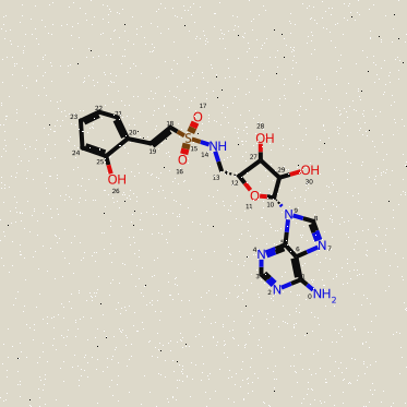 Nc1ncnc2c1ncn2[C@@H]1O[C@H](CNS(=O)(=O)/C=C/c2ccccc2O)C(O)C1O